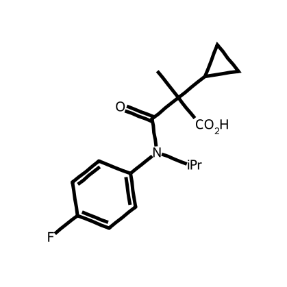 CC(C)N(C(=O)C(C)(C(=O)O)C1CC1)c1ccc(F)cc1